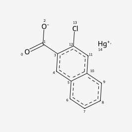 O=C([O-])c1cc2ccccc2cc1Cl.[Hg+]